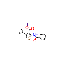 O=C(Nc1scc(C2CCC2)c1C(=O)OI)c1ccccc1